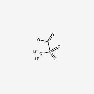 O=S([O-])S(=O)(=O)[O-].[Li+].[Li+]